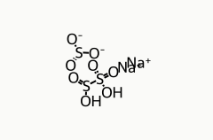 O=S(O)S(=O)(=O)O.O=S([O-])[O-].[Na+].[Na+]